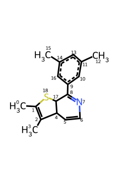 CC1=C(C)C2C=CN=C(c3cc(C)cc(C)c3)C2S1